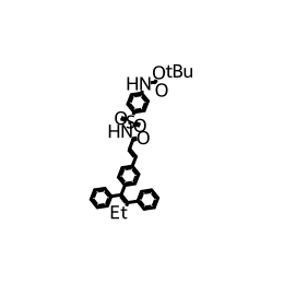 CC/C(=C(\c1ccccc1)c1ccc(/C=C/C(=O)NS(=O)(=O)c2ccc(NC(=O)OC(C)(C)C)cc2)cc1)c1ccccc1